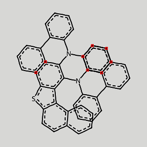 c1ccc(-c2ccccc2N(c2ccccc2)c2ccc3sc4ccc5ccccc5c4c3c2N(c2ccccc2)c2ccccc2-c2ccccc2)cc1